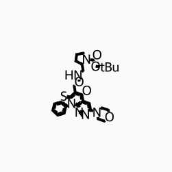 CC(C)(C)OC(=O)N1CCCC1CNOCc1c(=O)c2cc(N3CCOCC3)nnc2n2c1sc1ccccc12